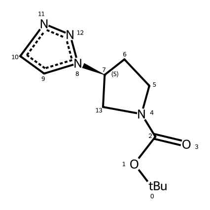 CC(C)(C)OC(=O)N1CC[C@H](n2ccnn2)C1